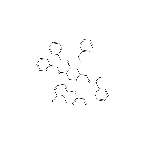 C=CC(=O)Oc1c([C@H]2O[C@H](COC(=O)c3ccccc3)[C@@H](OCc3ccccc3)[C@H](OCc3ccccc3)[C@@H]2OCc2ccccc2)ccc(F)c1C